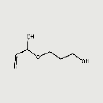 C=CC(O)OCCCO